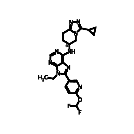 CCn1c(-c2ccc(OC(F)F)nc2)nc2c(N[C@H]3CCc4nnc(C5CC5)n4C3)ncnc21